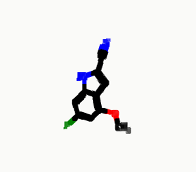 COc1cc(F)cc2[nH]c(C#N)cc12